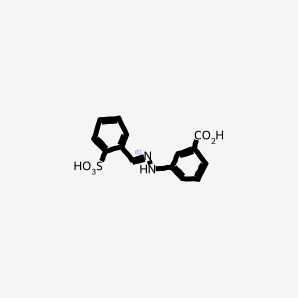 O=C(O)c1cccc(N/N=C/c2ccccc2S(=O)(=O)O)c1